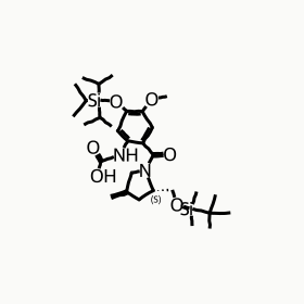 C=C1C[C@@H](CO[Si](C)(C)C(C)(C)C)N(C(=O)c2cc(OC)c(O[Si](C(C)C)(C(C)C)C(C)C)cc2NC(=O)O)C1